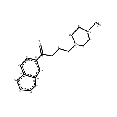 CN1CCN(CCCC(=O)c2ccc3ccccc3c2)CC1